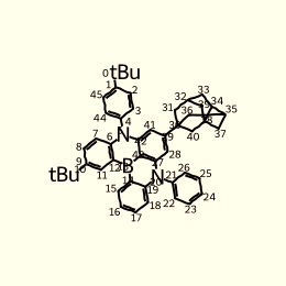 CC(C)(C)c1ccc(N2c3ccc(C(C)(C)C)cc3B3c4ccccc4N(c4ccccc4)c4cc(C56CC7CC8C(C5)CC8(C7)C6)cc2c43)cc1